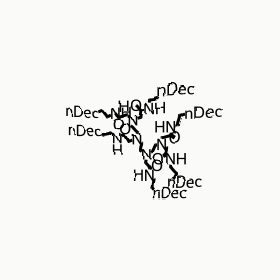 CCCCCCCCCCCCNC(=O)CN(CCN(CCN(CC(=O)NCCCCCCCCCCCC)CC(O)NCCCCCCCCCCCC)CC(=O)NCCCCCCCCCCCC)CCN(CC(=O)NCCCCCCCCCCCC)CC(=O)NCCCCCCCCCCCC